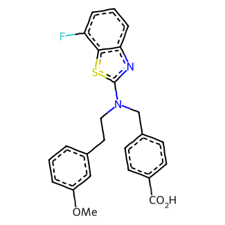 COc1cccc(CCN(Cc2ccc(C(=O)O)cc2)c2nc3cccc(F)c3s2)c1